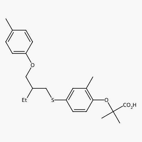 CCC(COc1ccc(C)cc1)CSc1ccc(OC(C)(C)C(=O)O)c(C)c1